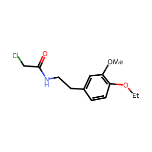 CCOc1ccc(CCNC(=O)CCl)cc1OC